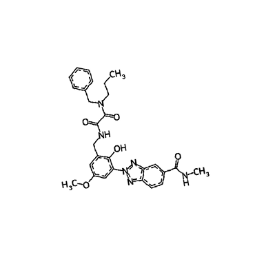 CCCN(Cc1ccccc1)C(=O)C(=O)NCc1cc(OC)cc(-n2nc3ccc(C(=O)NC)cc3n2)c1O